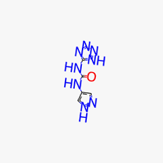 O=C(Nc1cn[nH]c1)Nc1nnn[nH]1